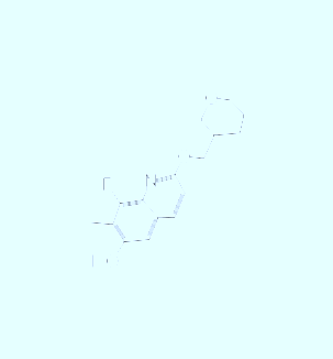 Cc1c(O)cc2ccc(OCC3CCCOC3)nc2c1F